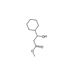 COC(=O)CC(O)C1CCCCC1